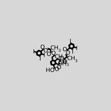 CC(=COC(=O)c1cc(I)cc(I)c1I)C(=O)OC(C)Cc1ccc(C(=O)O)c(C(=O)O)c1CC(C)OC(=O)C(C)=COC(=O)c1cc(I)cc(I)c1I